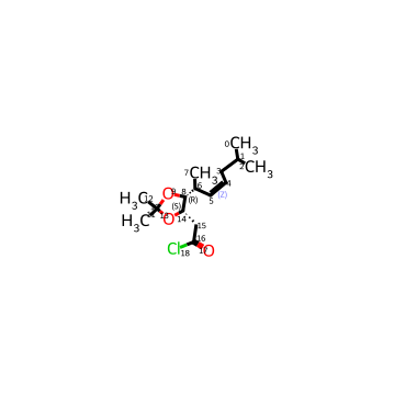 CC(C)C/C=C\C(C)[C@H]1OC(C)(C)O[C@H]1CC(=O)Cl